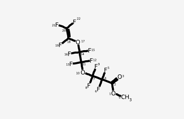 COC(=O)C(F)(F)C(F)(F)OC(F)(F)C(F)(F)OC(F)=C(F)F